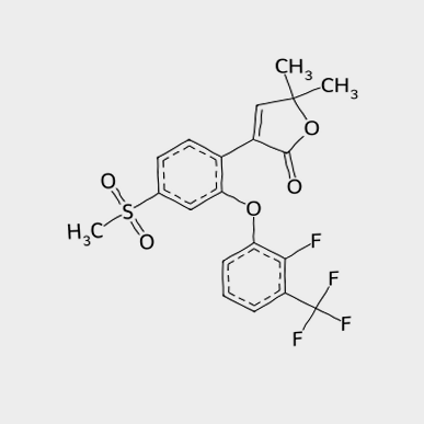 CC1(C)C=C(c2ccc(S(C)(=O)=O)cc2Oc2cccc(C(F)(F)F)c2F)C(=O)O1